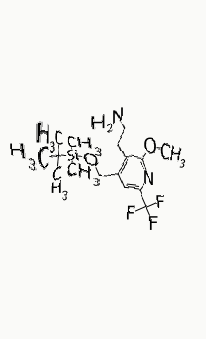 COc1nc(C(F)(F)F)cc(CO[Si](C)(C)C(C)(C)C)c1CCN